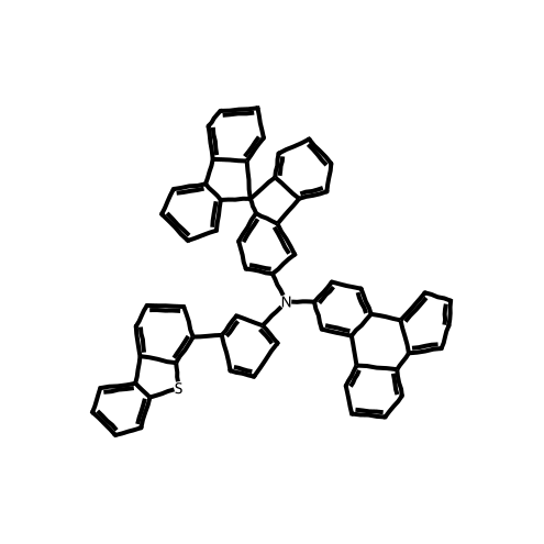 c1cc(-c2cccc3c2sc2ccccc23)cc(N(c2ccc3c(c2)-c2ccccc2C32c3ccccc3-c3ccccc32)c2ccc3c4ccccc4c4ccccc4c3c2)c1